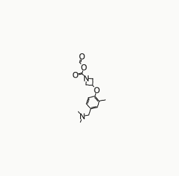 Cc1cc(CN(C)C)ccc1OC1CN(C(=O)OC=O)C1